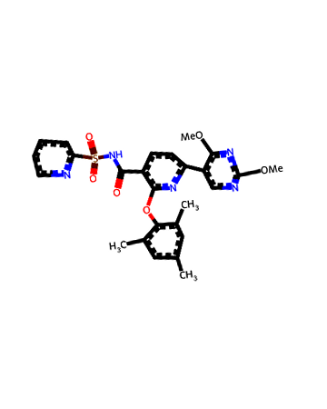 COc1ncc(-c2ccc(C(=O)NS(=O)(=O)c3ccccn3)c(Oc3c(C)cc(C)cc3C)n2)c(OC)n1